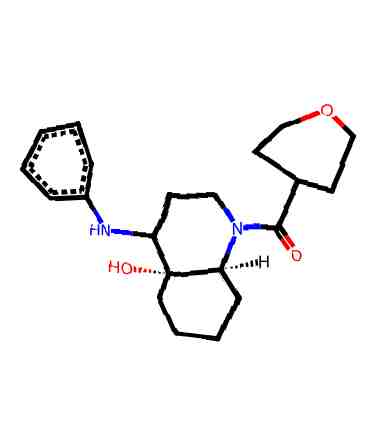 O=C(C1CCOCC1)N1CCC(Nc2ccccc2)[C@]2(O)CCCC[C@H]12